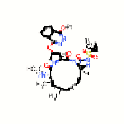 CCOc1nnc(O[C@@H]2C[C@H]3C(=O)N[C@]4(C(=O)NS(=O)(=O)C5(C)CC5)C[C@H]4C=CCC[C@@H](C)C[C@@H](C)[C@H](NC(=O)O)C(=O)N3C2)c2ccccc12